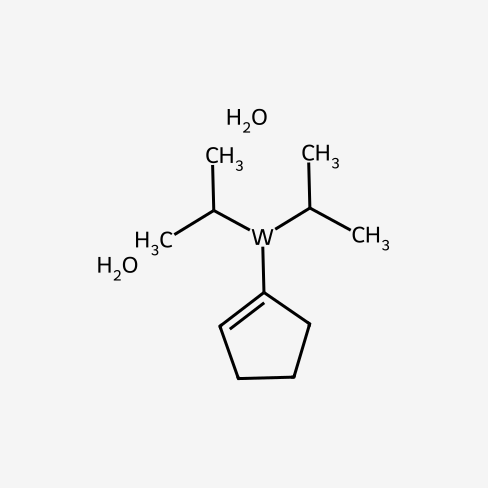 C[CH](C)[W]([C]1=CCCC1)[CH](C)C.O.O